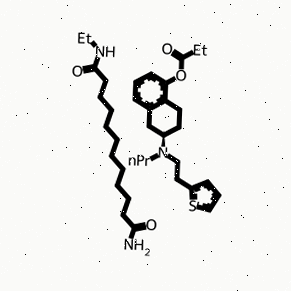 CCCN(CCc1cccs1)[C@@H]1CCc2c(cccc2OC(=O)CC)C1.CCNC(=O)CCCCCCCCCCC(N)=O